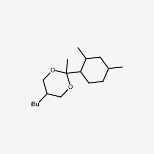 CCC(C)C1COC(C)(C2CCC(C)CC2C)OC1